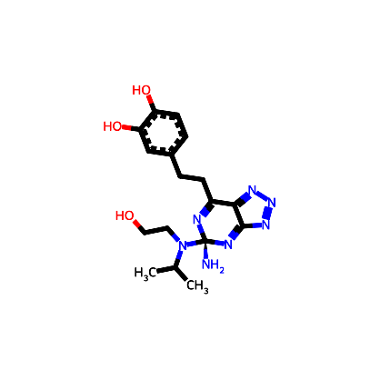 CC(C)N(CCO)[C@]1(N)N=C(CCc2ccc(O)c(O)c2)C2=NN=NC2=N1